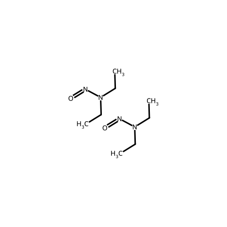 CCN(CC)N=O.CCN(CC)N=O